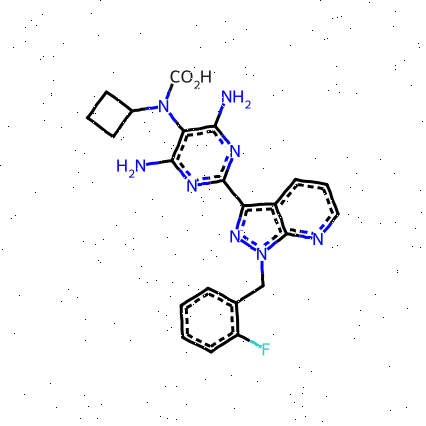 Nc1nc(-c2nn(Cc3ccccc3F)c3ncccc23)nc(N)c1N(C(=O)O)C1CCC1